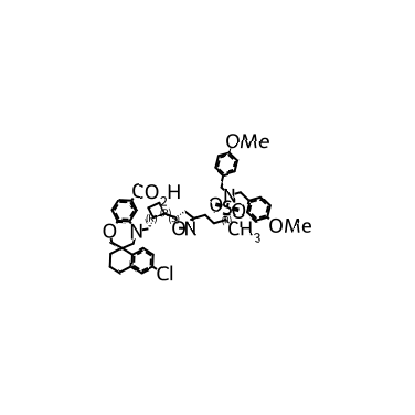 COc1ccc(CN(Cc2ccc(OC)cc2)S(=O)(=O)[C@H](C)CCC2=NO[C@H]([C@@H]3CC[C@H]3CN3CC4(CCCc5cc(Cl)ccc54)COc4ccc(C(=O)O)cc43)C2)cc1